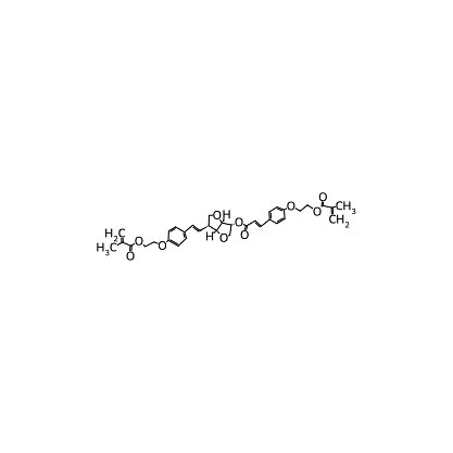 C=C(C)C(=O)OCCOc1ccc(C=C[C@H]2CO[C@H]3[C@@H]2OC[C@H]3OC(=O)/C=C/c2ccc(OCCOC(=O)C(=C)C)cc2)cc1